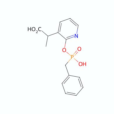 CC(C(=O)O)c1cccnc1OP(=O)(O)Cc1ccccc1